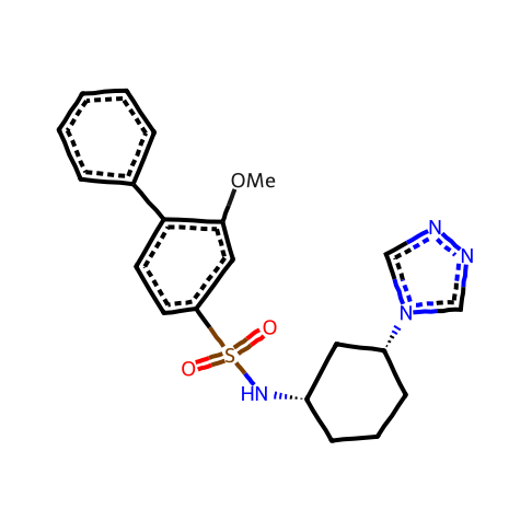 COc1cc(S(=O)(=O)N[C@H]2CCC[C@@H](n3cnnc3)C2)ccc1-c1ccccc1